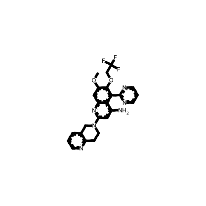 COc1cc2nc(N3CCc4ncccc4C3)cc(N)c2c(-c2ncccn2)c1OCC(F)(F)F